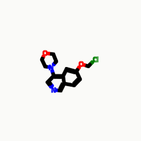 ClCOc1ccc2cncc(N3CCOCC3)c2c1